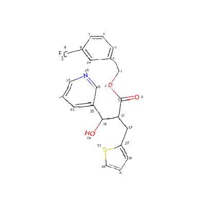 O=C(OCc1cccc(C(F)(F)F)c1)C(Cc1cccs1)C(O)c1cccnc1